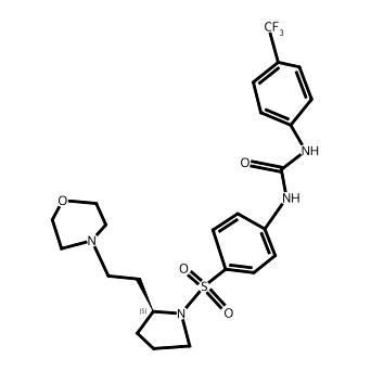 O=C(Nc1ccc(C(F)(F)F)cc1)Nc1ccc(S(=O)(=O)N2CCC[C@H]2CCN2CCOCC2)cc1